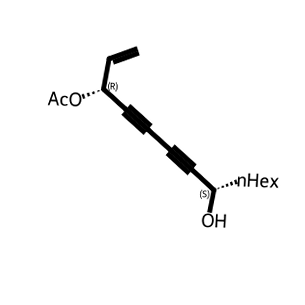 C=C[C@H](C#CC#C[C@@H](O)CCCCCC)OC(C)=O